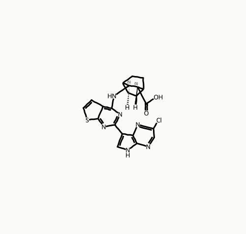 O=C(O)[C@H]1C2CCC(CC2)[C@@H]1Nc1nc(-c2c[nH]c3ncc(Cl)nc23)nc2sccc12